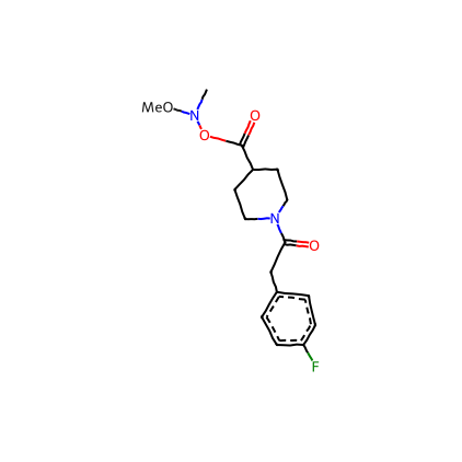 CON(C)OC(=O)C1CCN(C(=O)Cc2ccc(F)cc2)CC1